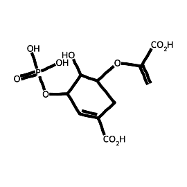 C=C(OC1CC(C(=O)O)=CC(OP(=O)(O)O)C1O)C(=O)O